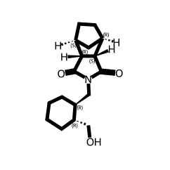 O=C1[C@@H]2[C@H]3CC[C@H](C3)[C@@H]2C(=O)N1C[C@@H]1CCCC[C@H]1CO